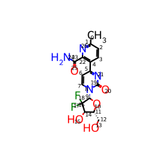 Cc1ccc(-c2ccn([C@@H]3O[C@H](CO)[C@@H](O)C3(F)F)c(=O)n2)c(C(N)=O)n1